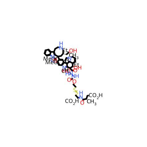 CC[C@](C)(O)C[C@H]1CNCCc2c([nH]c3ccccc23)[C@@](C(=O)OC)(c2cc3c(cc2OC)N(C)[C@H]2[C@@](O)(C(=O)NNC(=O)OCCSSC[C@H](NC(=O)[C@@H](C)CC(=O)O)C(=O)O)[C@H](O)[C@]4(CC)C=CCN5CC[C@]32[C@@H]54)C1